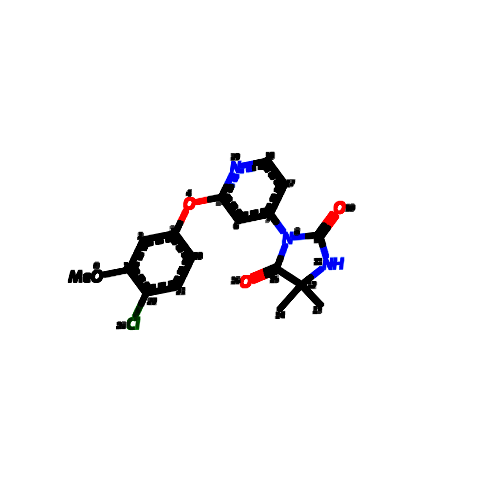 COc1cc(Oc2cc(N3C(=O)NC(C)(C)C3=O)ccn2)ccc1Cl